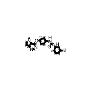 Cn1ccc2ncnc(Oc3ccc(NC(=O)Nc4cccc(Cl)c4)cc3)c21